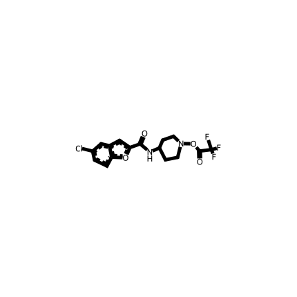 O=C(NC1CCN(OC(=O)C(F)(F)F)CC1)c1cc2cc(Cl)ccc2o1